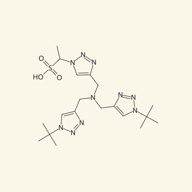 CC(n1cc(CN(Cc2cn(C(C)(C)C)nn2)Cc2cn(C(C)(C)C)nn2)nn1)S(=O)(=O)O